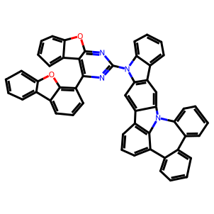 c1ccc2c(c1)-c1ccccc1-n1c3cc4c5ccccc5n(-c5nc(-c6cccc7c6oc6ccccc67)c6c(n5)oc5ccccc56)c4cc3c3cccc-2c31